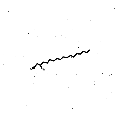 CCCCCCCCCCCCCCCC(O)CC#N